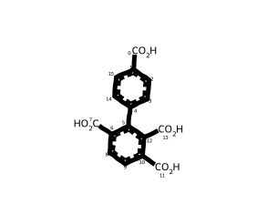 O=C(O)c1ccc(-c2c(C(=O)O)ccc(C(=O)O)c2C(=O)O)cc1